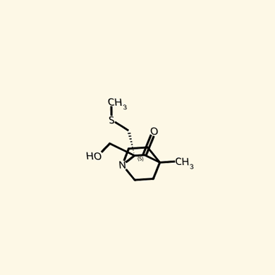 CSC[C@]1(CO)C(=O)C2(C)CCN1CC2